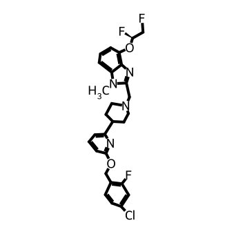 Cn1c(CN2CCC(c3cccc(OCc4ccc(Cl)cc4F)n3)CC2)nc2c(O[C@@H](F)CF)cccc21